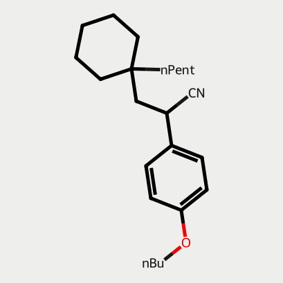 CCCCCC1(CC(C#N)c2ccc(OCCCC)cc2)CCCCC1